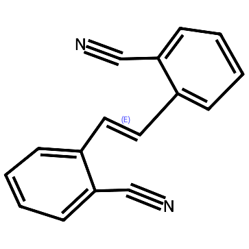 N#Cc1ccccc1/C=C/c1ccccc1C#N